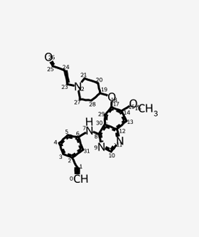 C#Cc1cccc(Nc2ncnc3cc(OC)c(OC4CCN(C=CC=O)CC4)cc23)c1